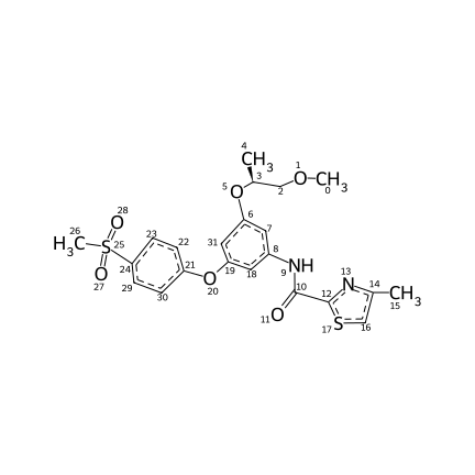 COC[C@H](C)Oc1cc(NC(=O)c2nc(C)cs2)cc(Oc2ccc(S(C)(=O)=O)cc2)c1